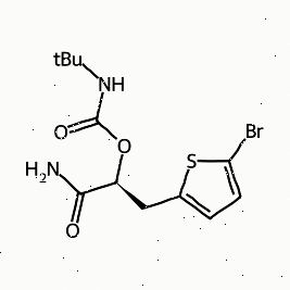 CC(C)(C)NC(=O)O[C@@H](Cc1ccc(Br)s1)C(N)=O